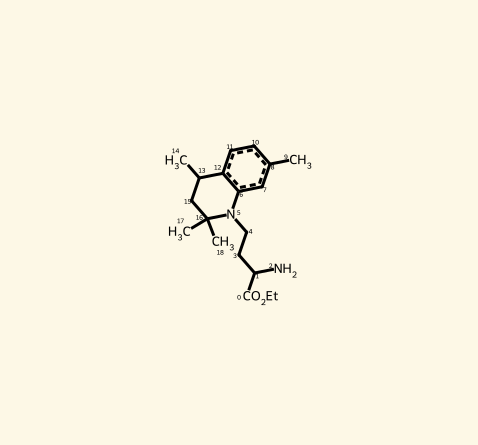 CCOC(=O)C(N)CCN1c2cc(C)ccc2C(C)CC1(C)C